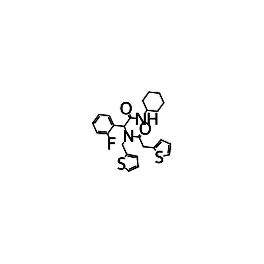 O=C(NC1CCCCC1)C(c1ccccc1F)N(Cc1cccs1)C(=O)Cc1cccs1